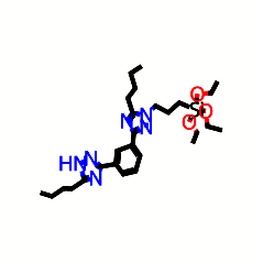 CCCCc1nc(-c2cccc(-c3nc(CCCC)n(CCC[Si](OCC)(OCC)OCC)n3)c2)n[nH]1